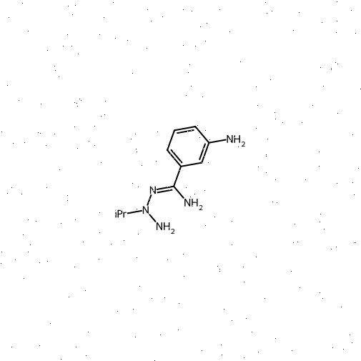 CC(C)N(N)/N=C(\N)c1cccc(N)c1